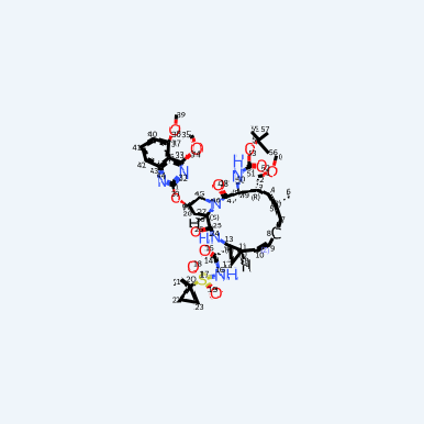 COC[C@@H]1C[C@H](C)CC/C=C\[C@@H]2C[C@@]2(C(=O)NS(=O)(=O)C2(C)CC2)NC(=O)[C@@H]2C[C@@H](Oc3nc(OC)c4c(OC)cccc4n3)CN2C(=O)[C@H]1NC(=O)OC(C)(C)C